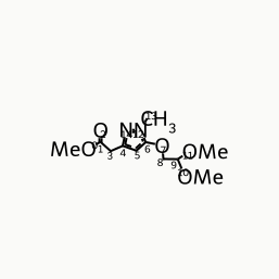 COC(=O)Cc1cc(OCC(OC)OC)n(C)n1